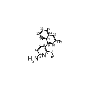 CCc1nc(N)ccc1-c1cc(C)cc2cccnc12